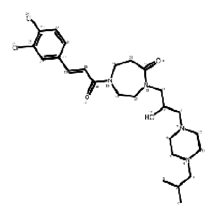 CC(C)CN1CCN(CC(O)CN2CCN(C(=O)C=Cc3ccc(Cl)c(Cl)c3)CCC2=O)CC1